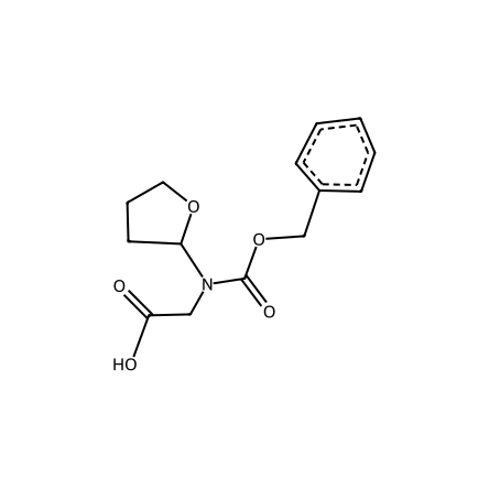 O=C(O)CN(C(=O)OCc1ccccc1)C1CCCO1